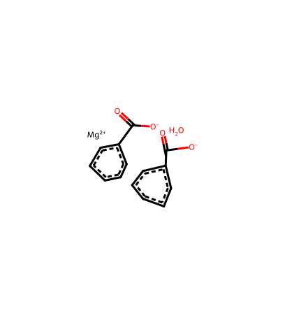 O.O=C([O-])c1ccccc1.O=C([O-])c1ccccc1.[Mg+2]